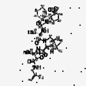 C=C(F)CNC(=O)C(=O)[C@@H](CCCC)NC(=O)[C@@H]1[C@@H]2[C@H](CN1C(=O)[C@@H](NC(=O)NC1([C@H]3CCCS3(=O)=O)CCCCC1)C(C)(C)C)C2(C)C